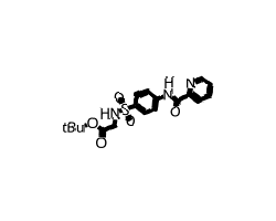 CC(C)(C)OC(=O)CNS(=O)(=O)c1ccc(NC(=O)c2ccccn2)cc1